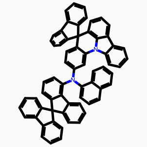 c1ccc2c(c1)-c1ccccc1C21c2ccccc2-c2c(N(c3ccc4c(c3)-n3c5ccccc5c5cccc(c53)C43c4ccccc4-c4ccccc43)c3cccc4ccccc34)cccc21